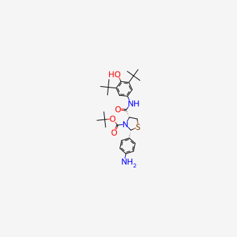 CC(C)(C)OC(=O)N1[C@@H](c2ccc(N)cc2)SC[C@H]1C(=O)Nc1cc(C(C)(C)C)c(O)c(C(C)(C)C)c1